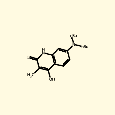 CCCCN(CCCC)c1ccc2c(O)c(C)c(=O)[nH]c2c1